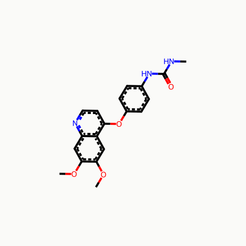 CNC(=O)Nc1ccc(Oc2ccnc3cc(OC)c(OC)cc23)cc1